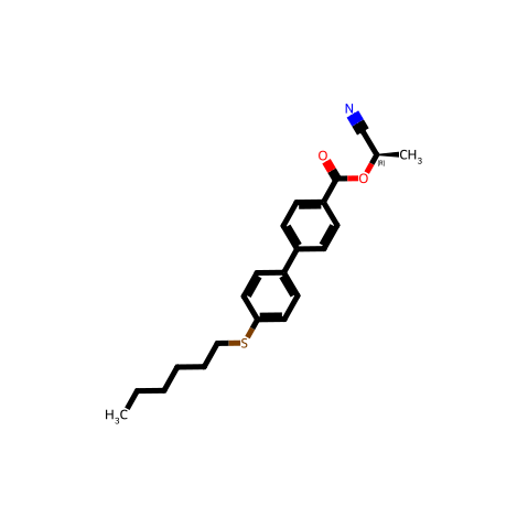 CCCCCCSc1ccc(-c2ccc(C(=O)O[C@H](C)C#N)cc2)cc1